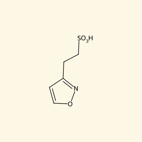 O=S(=O)(O)CCc1ccon1